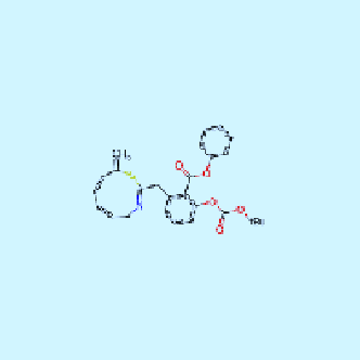 C=C1/C=C\C=C/C/N=C(/Cc2cccc(OC(=O)OC(C)(C)C)c2C(=O)Oc2ccccc2)S1